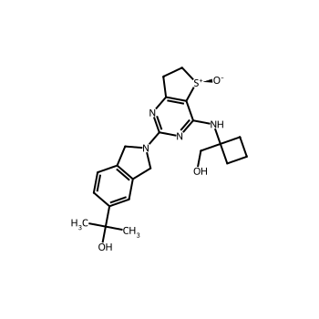 CC(C)(O)c1ccc2c(c1)CN(c1nc3c(c(NC4(CO)CCC4)n1)[S@+]([O-])CC3)C2